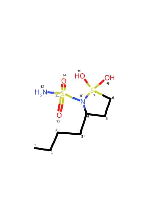 CCCCC1CCS(O)(O)N1S(N)(=O)=O